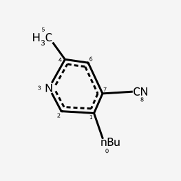 CCCCc1cnc(C)cc1C#N